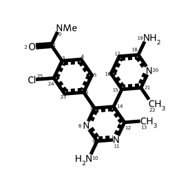 CNC(=O)c1ccc(-c2nc(N)nc(C)c2-c2ccc(N)nc2C)cc1Cl